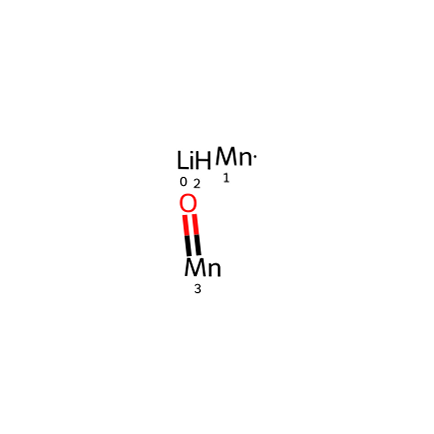 [LiH].[Mn].[O]=[Mn]